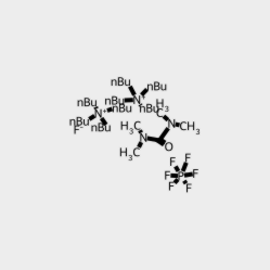 CCCC[N+](CCCC)(CCCC)CCCC.CCCC[N+](CCCC)(CCCC)CCCC.CN(C)C(=O)N(C)C.F[P-](F)(F)(F)(F)F.[F-]